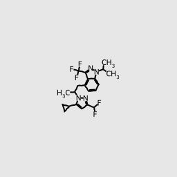 CC(Cc1cccc2c1c(C(F)(F)F)nn2C(C)C)n1nc(C(F)F)cc1C1CC1